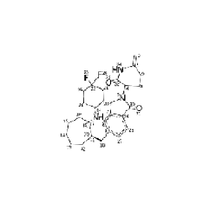 C=C1CCC(N2Cc3cc(C[C@H]4CCCCC[C@@H]4NC4CCC(F)(F)CC4)ccc3C2=O)C(=O)N1